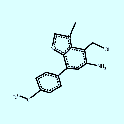 Cn1cnc2c(-c3ccc(OC(F)(F)F)cc3)cc(N)c(CO)c21